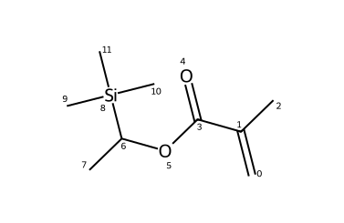 C=C(C)C(=O)OC(C)[Si](C)(C)C